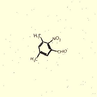 Cc1cc(C)c([N+](=O)[O-])c(C=O)c1